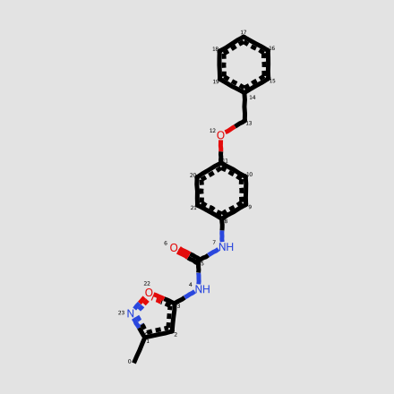 Cc1cc(NC(=O)Nc2ccc(OCc3ccccc3)cc2)on1